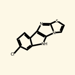 Clc1ccc2c(c1)[nH]c1c2nc2sccn21